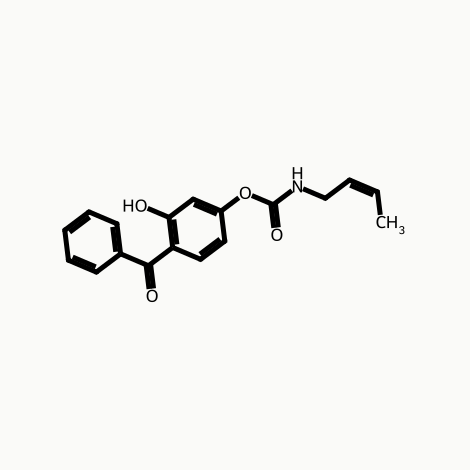 C/C=C\CNC(=O)Oc1ccc(C(=O)c2ccccc2)c(O)c1